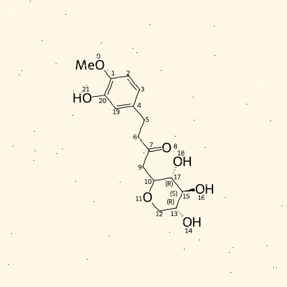 COc1ccc(CCC(=O)CC2OC[C@@H](O)[C@H](O)[C@H]2O)cc1O